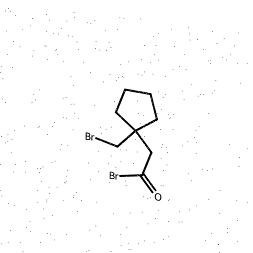 O=C(Br)CC1(CBr)CCCC1